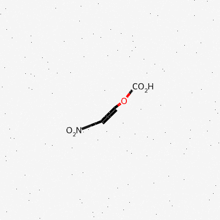 O=C(O)OC=C[N+](=O)[O-]